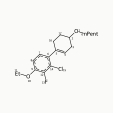 CCCCCOC1CC=C(c2ccc(OCC)c(F)c2Cl)CC1